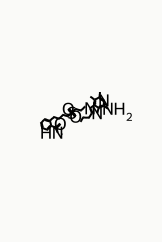 CCCc1nc2c(N)nc(C)c(C)c2n1CCCS(=O)(=O)CCCCc1ccccc1C(=O)NC